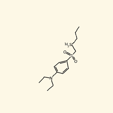 CCC[SiH2]CS(=O)(=O)c1ccc(N(CC)CC)cc1